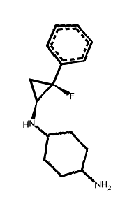 NC1CCC(N[C@H]2C[C@]2(F)c2ccccc2)CC1